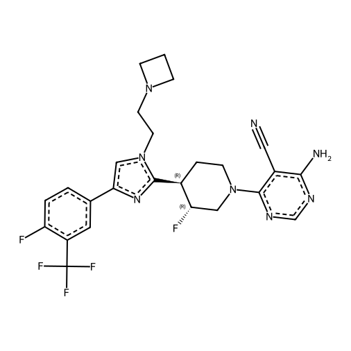 N#Cc1c(N)ncnc1N1CC[C@H](c2nc(-c3ccc(F)c(C(F)(F)F)c3)cn2CCN2CCC2)[C@@H](F)C1